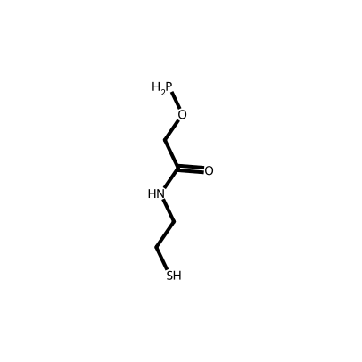 O=C(COP)NCCS